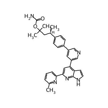 Cc1cccc(-c2cc(-c3cncc(-c4ccc([C@H](C)CC(C)(C)OC(N)=O)cc4)c3)c3cc[nH]c3n2)n1